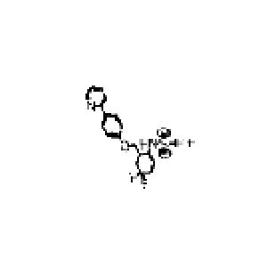 CCS(=O)(=O)NC1CCC(F)(F)CC1COc1ccc(-c2ccccn2)cc1